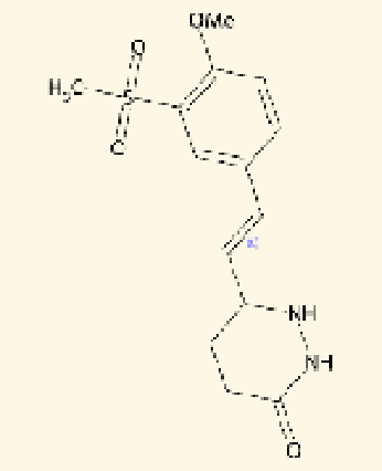 COc1ccc(/C=C/C2CCC(=O)NN2)cc1S(C)(=O)=O